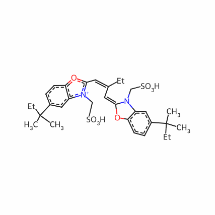 CCC(=Cc1oc2ccc(C(C)(C)CC)cc2[n+]1CS(=O)(=O)O)C=C1Oc2ccc(C(C)(C)CC)cc2N1CS(=O)(=O)O